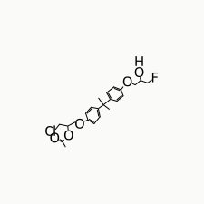 CC(=O)OC(CCl)COc1ccc(C(C)(C)c2ccc(OCC(O)CF)cc2)cc1